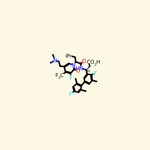 Cc1cc(-c2c(C)cc(F)cc2C)cc([C@H](CC(=O)O)NC(=O)C(CC(C)C)n2cc(CCN(C)C)c(C(F)(F)F)c(F)c2=O)c1F